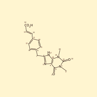 Cn1c(=O)c2nc(Cc3ccc(/C=C/C(=O)O)cc3)[nH]c2n(C)c1=O